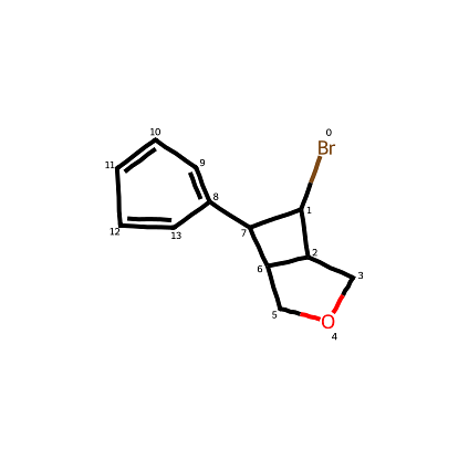 BrC1C2COCC2C1c1ccccc1